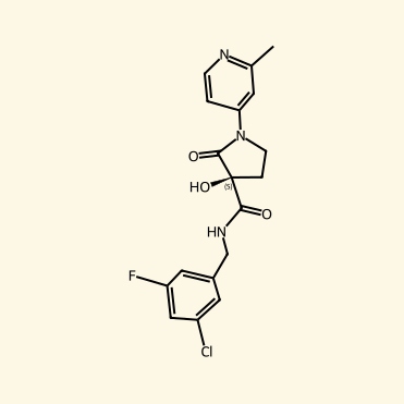 Cc1cc(N2CC[C@](O)(C(=O)NCc3cc(F)cc(Cl)c3)C2=O)ccn1